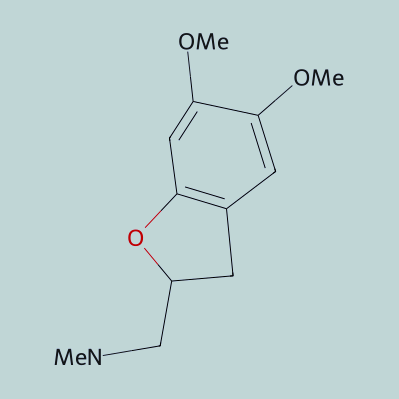 CNCC1Cc2cc(OC)c(OC)cc2O1